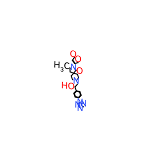 C[C@H]1CC2(CCN(C[C@@H](O)c3ccc(-n4ncnn4)cc3)CC2)C(=O)N1C1=CC(=O)OC1